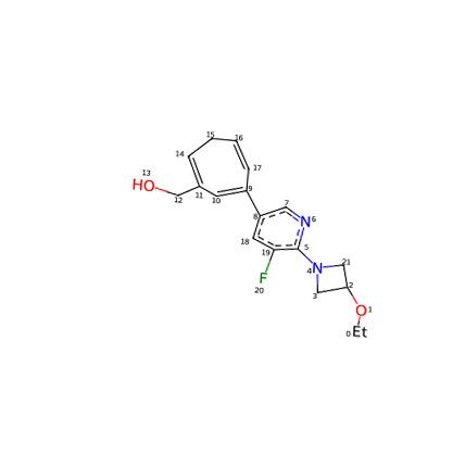 CCOC1CN(c2ncc(C3=CC(CO)=CCC=C3)cc2F)C1